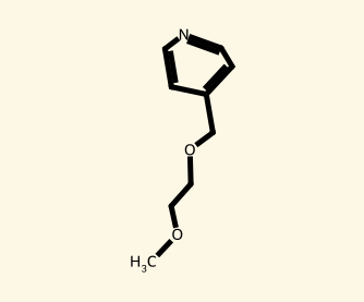 COCCOCc1ccncc1